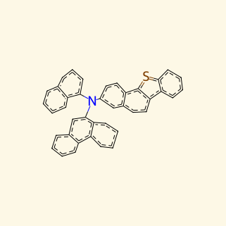 c1ccc2c(N(c3ccc4c(ccc5c6ccccc6sc45)c3)c3cc4ccccc4c4ccccc34)cccc2c1